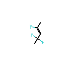 C/C(F)=C/C(C)(F)F